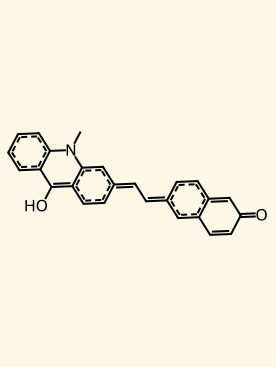 CN1c2ccccc2C(O)=c2cc/c(=C\C=c3/ccc4c(c3)C=CC(=O)C=4)cc21